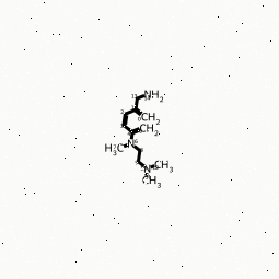 C=C(/C=C\C(=C)N(C)CCN(C)C)CN